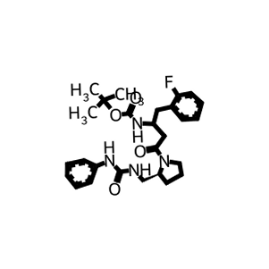 CC(C)(C)OC(=O)NC(CC(=O)N1CCC[C@H]1CNC(=O)Nc1ccccc1)Cc1ccccc1F